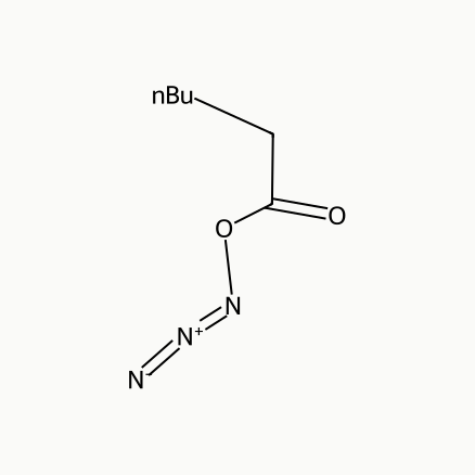 CCCCCC(=O)ON=[N+]=[N-]